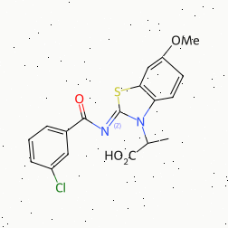 COc1ccc2c(c1)s/c(=N\C(=O)c1cccc(Cl)c1)n2C(C)C(=O)O